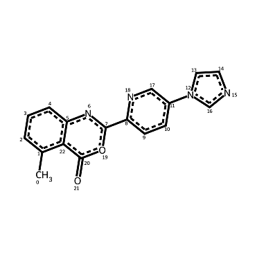 Cc1cccc2nc(-c3ccc(-n4ccnc4)cn3)oc(=O)c12